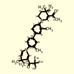 CC(=O)C1=CN(c2ccc(-c3ccc(N4C=CC(C)(C)C(C(=O)C(F)(F)F)=C4)c(C)c3)cc2C)CCC1(C)C